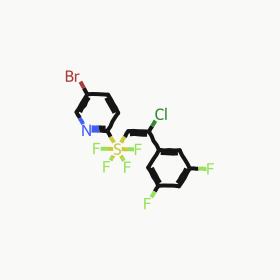 Fc1cc(F)cc(/C(Cl)=C\S(F)(F)(F)(F)c2ccc(Br)cn2)c1